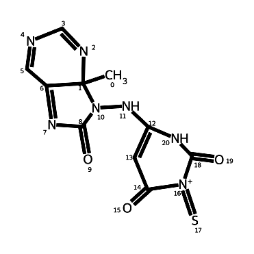 CC12N=CN=CC1=NC(=O)N2NC1=CC(=O)[N+](=S)C(=O)N1